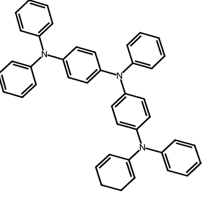 C1=CC(N(c2ccccc2)c2ccc(N(c3ccccc3)c3ccc(N(c4ccccc4)c4ccccc4)cc3)cc2)=CCC1